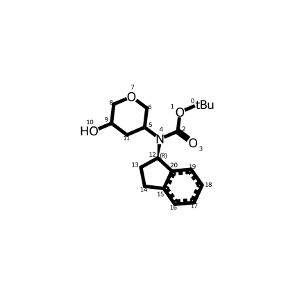 CC(C)(C)OC(=O)N(C1COCC(O)C1)[C@@H]1CCc2ccccc21